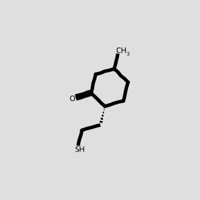 CC1CC[C@H](CCS)C(=O)C1